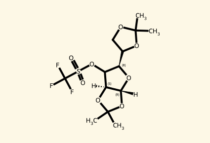 CC1(C)OCC([C@H]2O[C@@H]3OC(C)(C)O[C@H]3C2OS(=O)(=O)C(F)(F)F)O1